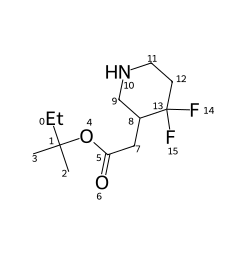 CCC(C)(C)OC(=O)CC1CNCCC1(F)F